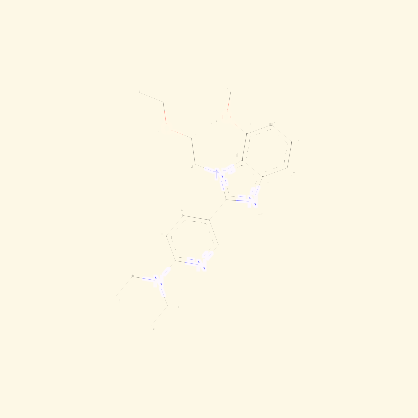 CCOCCn1c(-c2ccc(N(CC)CC)nc2)nc2cccc(OC)c21